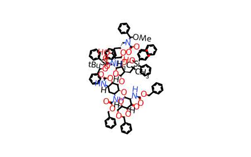 COC(c1ccccc1)N(C[C@H]1C[C@H](O)[C@@H](NC(=O)OCc2ccccc2)[C@@H](O[C@H]2[C@@H](CC(C)(C)[Si](O)(c3ccccc3)c3ccccc3)[C@H](OC3[C@H]4OC(=O)N[C@@H]4C[C@H](NC(=O)OCc4ccccc4)[C@H]3O[C@H]3O[C@@H]4COC(c5ccccc5)O[C@H]4C(=O)[C@H]3NC(=O)OCc3ccccc3)O[C@@H]2CO[Si](c2ccccc2)(c2ccccc2)C(C)(C)C)O1)C(=O)OCc1ccccc1